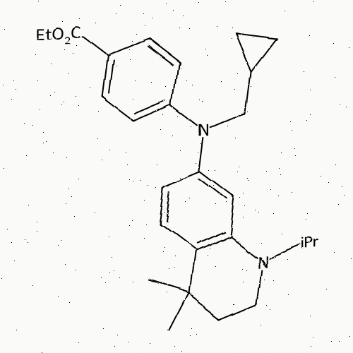 CCOC(=O)c1ccc(N(CC2CC2)c2ccc3c(c2)N(C(C)C)CCC3(C)C)cc1